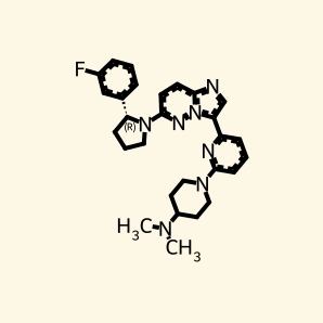 CN(C)C1CCN(c2cccc(-c3cnc4ccc(N5CCC[C@@H]5c5cccc(F)c5)nn34)n2)CC1